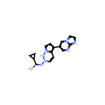 C[C@H](NN1C=Cc2c(-c3cnc4nccn4c3)ccn2N1)C1CC1